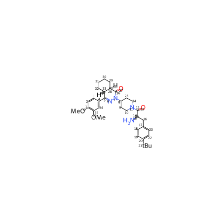 COc1ccc(C2=NN(C3CCN(C(=O)[C@H](N)Cc4ccc(C(C)(C)C)cc4)CC3)C(=O)[C@@H]3CCCC[C@H]23)cc1OC